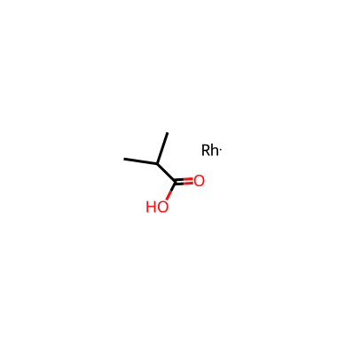 CC(C)C(=O)O.[Rh]